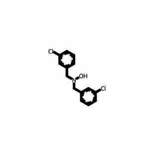 ON(Cc1cccc(Cl)c1)Cc1cccc(Cl)c1